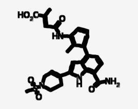 CC(=CC(=O)Nc1cccc(-c2ccc(C(N)=O)c3[nH]c(C4=CCN(S(C)(=O)=O)CC4)cc23)c1C)C(=O)O